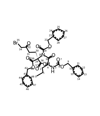 CC[C@H](C)[C@H](NC(=O)OCc1ccccc1)C(=O)N(C(=O)OCc1ccccc1)[C@@](CCC(=O)CBr)(C(=O)O)C(=O)OCc1ccccc1